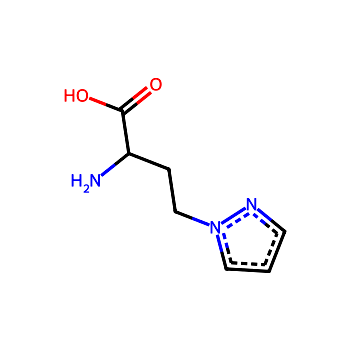 NC(CCn1cccn1)C(=O)O